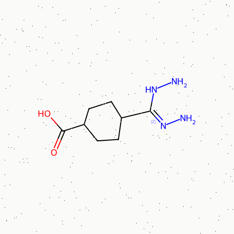 N/N=C(\NN)C1CCC(C(=O)O)CC1